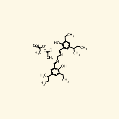 CC(=O)[O-].CC(=O)[O-].CCc1cc(C(C)CC)cc(C=NCN=Cc2cc(C(C)CC)cc(CC)c2O)c1O.[Co+2]